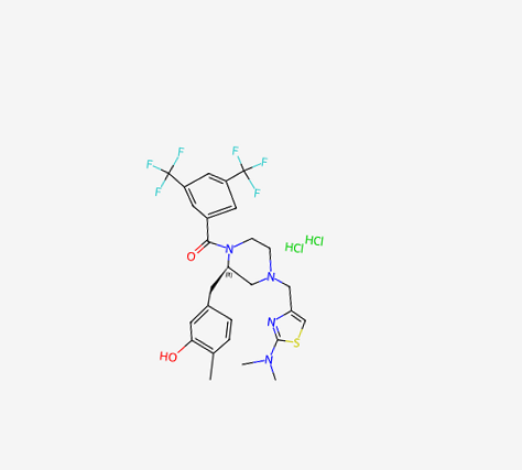 Cc1ccc(C[C@@H]2CN(Cc3csc(N(C)C)n3)CCN2C(=O)c2cc(C(F)(F)F)cc(C(F)(F)F)c2)cc1O.Cl.Cl